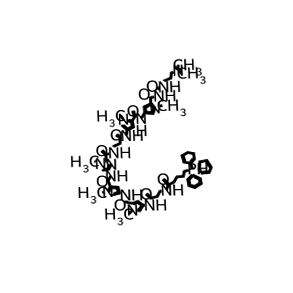 CN(C)CCCNC(=O)NC(=O)c1cc(NC(=O)c2cc(NC(=O)CCNC(=O)c3nc(NC(=O)c4cc(NC(=O)c5cc(NC(=O)CCNC(=O)CCCC[PH](C6=CCCC=C6)(c6ccccc6)C6C=CC=CC6)cn5C)cn4C)cn3C)cn2C)cn1C